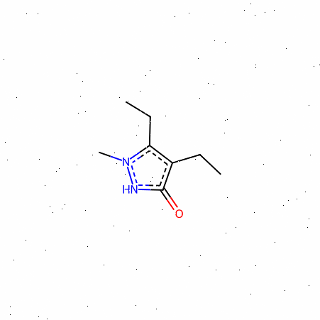 CCc1c(CC)n(C)[nH]c1=O